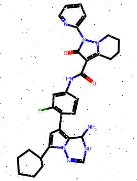 NC1NC=Nn2c(C3CCCCC3)cc(-c3ccc(NC(=O)c4c5n(n(-c6ccccn6)c4=O)CCCC5)cc3F)c21